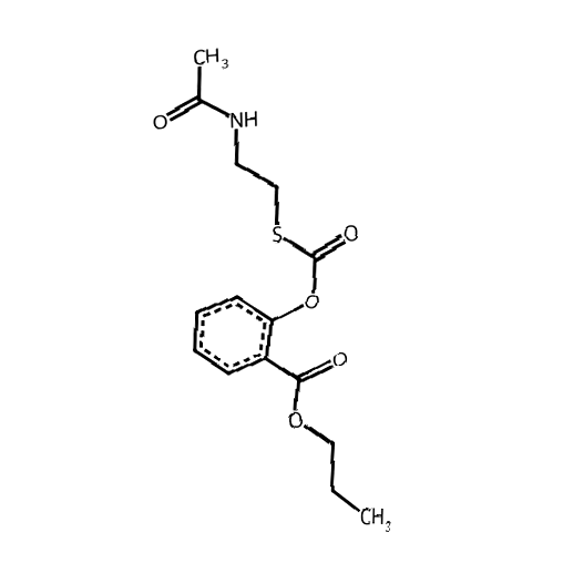 CCCOC(=O)c1ccccc1OC(=O)SCCNC(C)=O